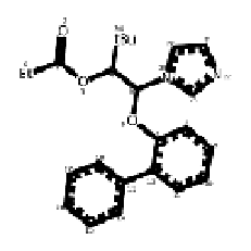 CCC(=O)OC(C(Oc1ccccc1-c1ccccc1)n1ccnc1)C(C)(C)C